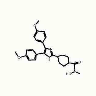 COc1ccc(-c2nc(C3CCN(C(=O)N(C)O)CC3)[nH]c2-c2ccc(OC)cc2)cc1